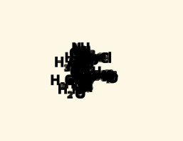 CCc1ccccc1Nc1c(C(N)=O)cnc2cc(OCCCCN3CCOCC3)c(OC)cc12.COc1cc2c(Nc3cccc(CO)c3C)c(C(N)=O)cnc2cc1OCCCCl